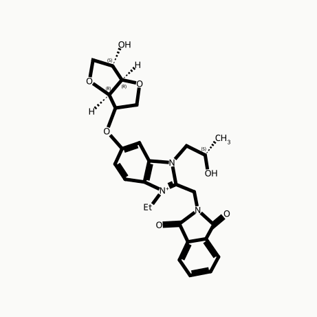 CC[n+]1c(CN2C(=O)c3ccccc3C2=O)n(C[C@H](C)O)c2cc(OC3CO[C@H]4[C@@H]3OC[C@@H]4O)ccc21